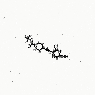 CC(C)(C)OC(=O)N1CCC(C#Cc2ncc(N)nc2Cl)CC1